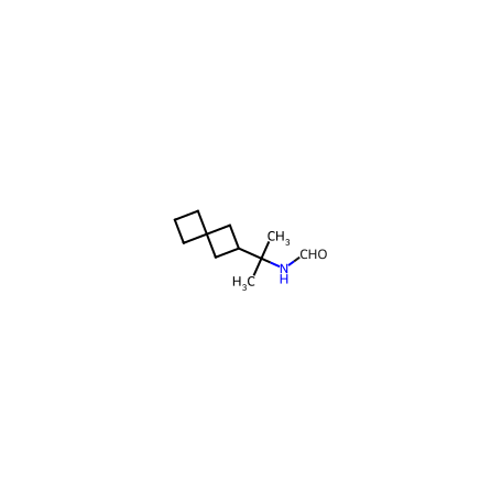 CC(C)(NC=O)C1CC2(CCC2)C1